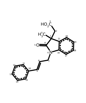 CC1(CC(=O)O)C(=O)N(CC=Cc2ccccc2)c2ccccc21